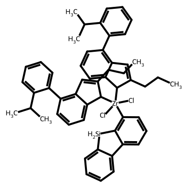 CCCC1=Cc2c(-c3ccccc3C(C)C)cccc2[CH]1[Zr]([Cl])([Cl])([c]1cccc2c1[SiH2]c1ccccc1-2)[CH]1C(CCC)=Cc2c(-c3ccccc3C(C)C)cccc21